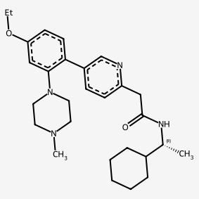 CCOc1ccc(-c2ccc(CC(=O)N[C@H](C)C3CCCCC3)nc2)c(N2CCN(C)CC2)c1